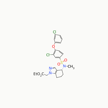 CCOC(=O)Cn1ncc2c1CCC[C@H]2N(C)S(=O)(=O)c1ccc(Oc2cccc(Cl)c2)c(Cl)c1